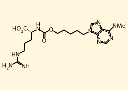 CNc1ncnc2c1ncn2CCCCCOC(=O)N[C@H](CCCNC(=N)N)C(=O)O